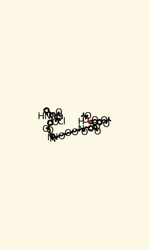 COC(=O)[C@H]1Cc2c([nH]c3ccccc23)[C@H](c2ccc(C(=O)OCc3cn(CCOCCOCCOCCNC(=O)Cc4ccc5c(c4)C4(OC5=O)c5ccc(OC(=O)C(C)C)cc5Oc5cc(OC(=O)C(C)C)ccc54)nn3)cc2)N1C(=O)CCl